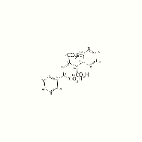 CCOC(=O)C(=CC(C(=O)O)c1ccccc1)C(C(=O)O)c1ccccc1